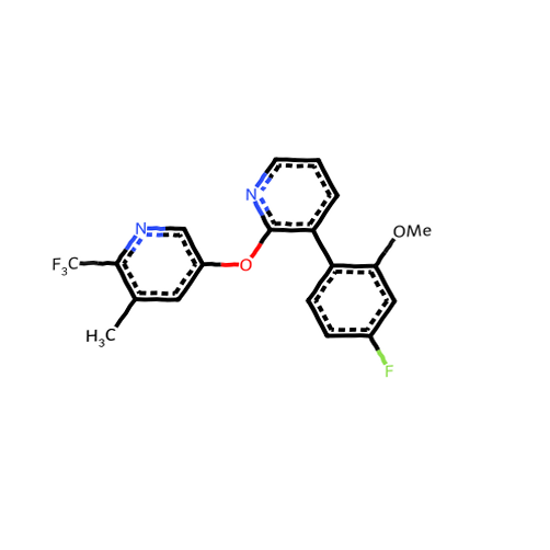 COc1cc(F)ccc1-c1cccnc1Oc1cnc(C(F)(F)F)c(C)c1